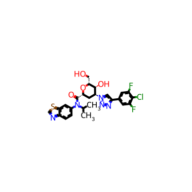 CC(C)N(C(=O)[C@H]1C[C@@H](n2cc(-c3cc(F)c(Cl)c(F)c3)nn2)[C@@H](O)[C@@H](CO)O1)c1ccc2ncsc2c1